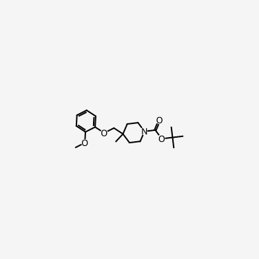 COc1ccccc1OCC1(C)CCN(C(=O)OC(C)(C)C)CC1